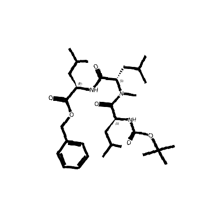 CC(C)C[C@H](NC(=O)OC(C)(C)C)C(=O)N(C)[C@@H](CC(C)C)C(=O)N[C@H](CC(C)C)C(=O)OCc1ccccc1